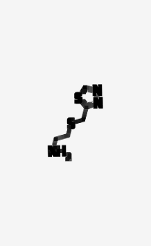 NCCSCc1nncs1